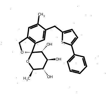 Cc1cc2c(cc1Cc1ccc(-c3ccccc3)s1)[C@]1(OC2)O[C@H](C)[C@@H](O)[C@H](O)[C@H]1O